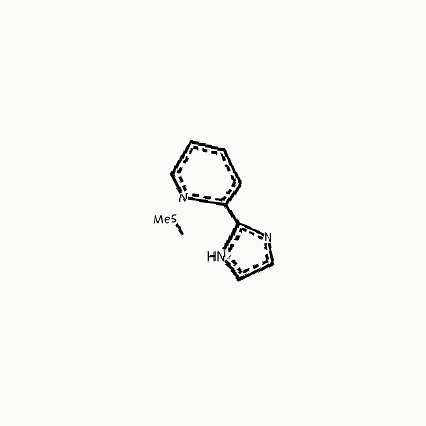 CSC.c1ccc(-c2ncc[nH]2)nc1